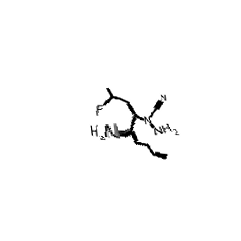 C=CC/C=C(N)\C(=C/C(C)F)N(N)C#N